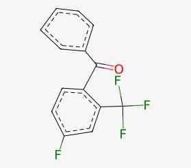 O=C(c1ccccc1)c1ccc(F)cc1C(F)(F)F